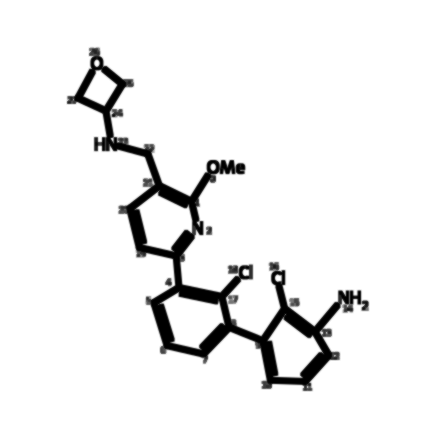 COc1nc(-c2cccc(-c3cccc(N)c3Cl)c2Cl)ccc1CNC1COC1